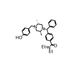 CCN(CC)C(=O)c1ccc([C@H](c2ccccc2)N2C[C@@H](C)N(Cc3ccc(O)cc3)C[C@@H]2C)cc1